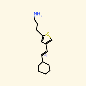 NCCCc1cc(/C=C/C2CCCCC2)cs1